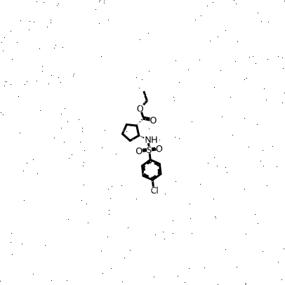 CCOC(=O)[C@H]1CCC[C@H]1NS(=O)(=O)c1ccc(Cl)cc1